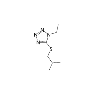 CCn1nnnc1SCC(C)C